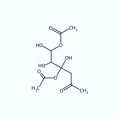 CC(=O)CC(O)(OC(C)=O)C(O)C(O)OC(C)=O